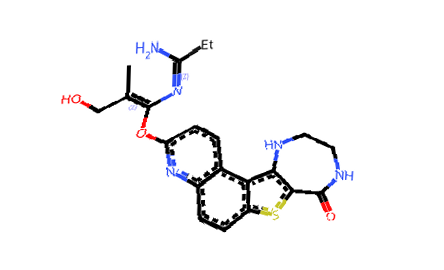 CC/C(N)=N/C(Oc1ccc2c(ccc3sc4c(c32)NCCNC4=O)n1)=C(\C)CO